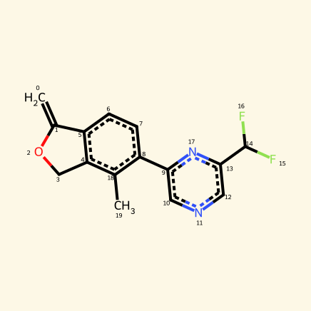 C=C1OCc2c1ccc(-c1cncc(C(F)F)n1)c2C